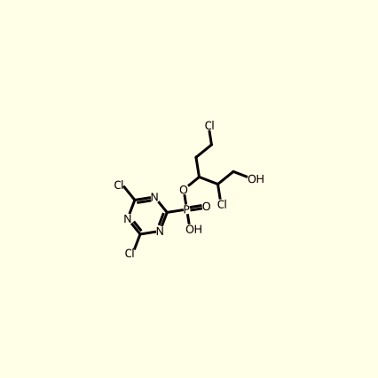 O=P(O)(OC(CCCl)C(Cl)CO)c1nc(Cl)nc(Cl)n1